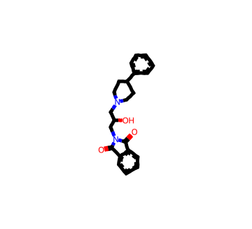 O=C1c2ccccc2C(=O)N1CC(O)CN1CCC(c2ccccc2)CC1